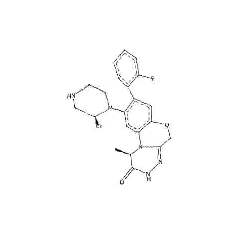 CC[C@H]1CNCCN1c1cc2c(cc1-c1ccccc1F)OCC1=NNC(=O)[C@@H](C)N12